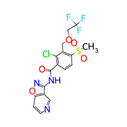 CS(=O)(=O)c1ccc(C(=O)Nc2noc3ccncc23)c(Cl)c1COCC(F)(F)F